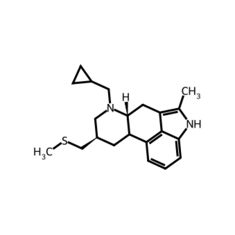 CSC[C@@H]1CC2c3cccc4[nH]c(C)c(c34)C[C@H]2N(CC2CC2)C1